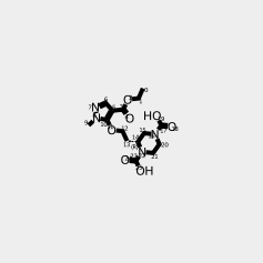 CCOC(=O)c1cnn(C)c1OCC[C@@H]1CN(C(=O)O)CCN1C(=O)O